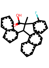 CC(C(=O)O)(c1ccccc1F)C(c1cccc2ccccc12)c1cccc2ccccc12